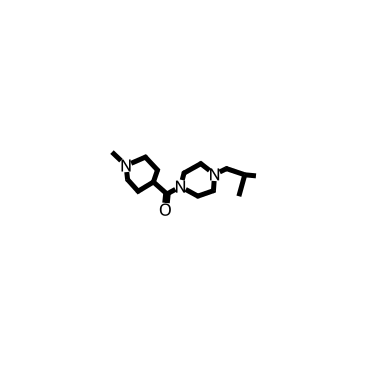 CC(C)CN1CCN(C(=O)C2CCN(C)CC2)CC1